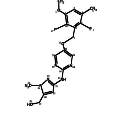 COc1cc(C)c(F)c(COc2cnc(Nc3cc(CO)n(C)n3)nc2)c1F